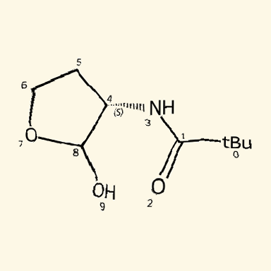 CC(C)(C)C(=O)N[C@H]1CCOC1O